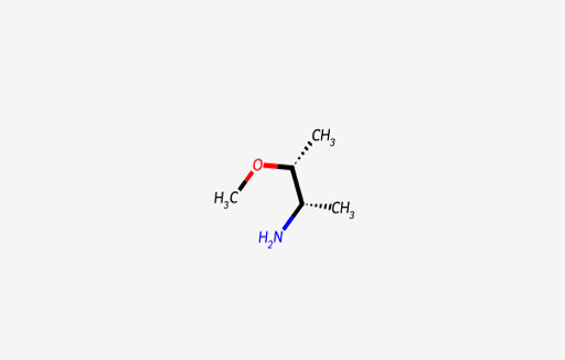 CO[C@H](C)[C@H](C)N